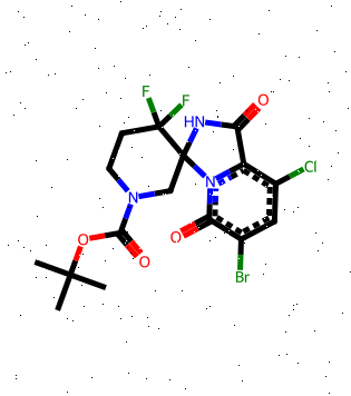 CC(C)(C)OC(=O)N1CCC(F)(F)C2(C1)NC(=O)c1c(Cl)cc(Br)c(=O)n12